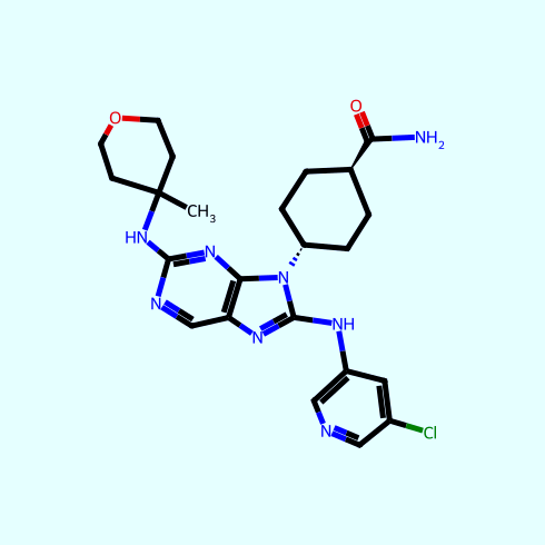 CC1(Nc2ncc3nc(Nc4cncc(Cl)c4)n([C@H]4CC[C@H](C(N)=O)CC4)c3n2)CCOCC1